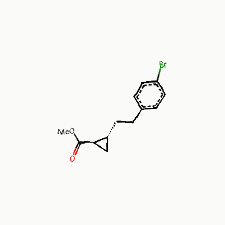 COC(=O)[C@@H]1C[C@H]1CCc1ccc(Br)cc1